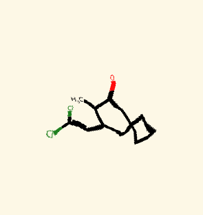 CC1C(=O)CC2(CCC2)CC1C=C(Cl)Cl